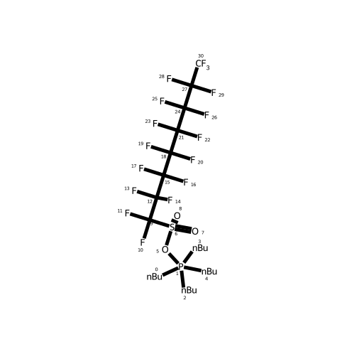 CCCCP(CCCC)(CCCC)(CCCC)OS(=O)(=O)C(F)(F)C(F)(F)C(F)(F)C(F)(F)C(F)(F)C(F)(F)C(F)(F)C(F)(F)F